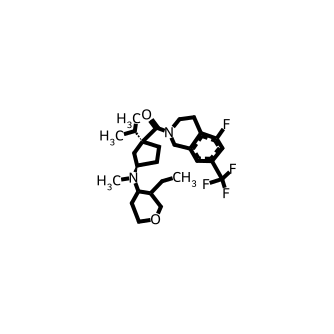 CCC1COCCC1N(C)[C@@H]1CC[C@@](C(=O)N2CCc3c(F)cc(C(F)(F)F)cc3C2)(C(C)C)C1